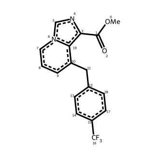 COC(=O)c1ncn2cccc(Cc3ccc(C(F)(F)F)cc3)c12